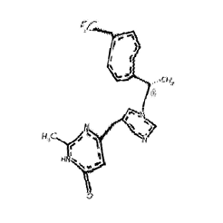 Cc1nc(-c2cn([C@@H](C)c3ccc(C(F)(F)F)cc3)cn2)cc(=O)[nH]1